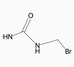 [NH]C(=O)NCBr